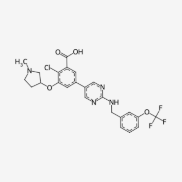 CN1CCC(Oc2cc(-c3cnc(NCc4cccc(OC(F)(F)F)c4)nc3)cc(C(=O)O)c2Cl)C1